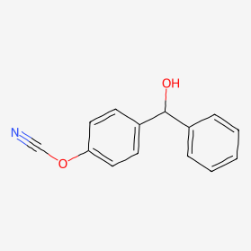 N#COc1ccc(C(O)c2ccccc2)cc1